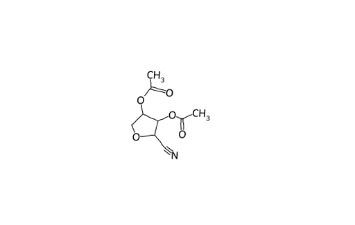 CC(=O)OC1COC(C#N)C1OC(C)=O